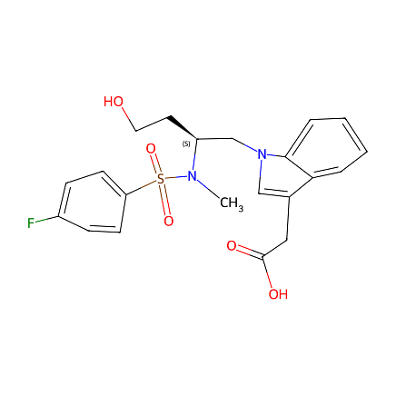 CN([C@@H](CCO)Cn1cc(CC(=O)O)c2ccccc21)S(=O)(=O)c1ccc(F)cc1